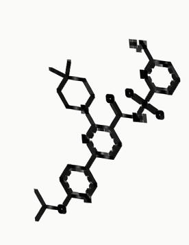 CC(C)Oc1ccc(-c2ccc(C(=O)NS(=O)(=O)c3cccc(N)n3)c(N3CCC(C)(C)CC3)n2)cn1